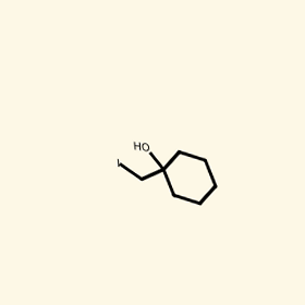 OC1(CI)CCCCC1